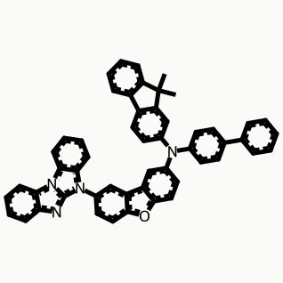 CC1(C)c2ccccc2-c2ccc(N(c3ccc(-c4ccccc4)cc3)c3ccc4oc5ccc(-n6c7ccccc7n7c8ccccc8nc67)cc5c4c3)cc21